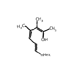 CCCCCCC=CC=C(C)C(C)=C(C)O